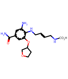 NC(=O)c1cc(N)c(NCC=CCNC(=O)O)c(OC2CCOC2)c1